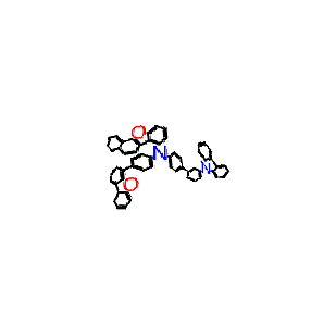 c1cc(-c2ccc(N(c3ccc(-c4cccc5c4oc4ccccc45)cc3)c3cccc4oc5c6ccccc6ccc5c34)cc2)cc(-n2c3ccccc3c3ccccc32)c1